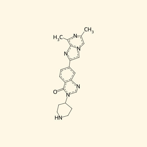 Cc1cn2cc(-c3ccc4c(=O)n(C5CCNCC5)cnc4c3)nc2c(C)n1